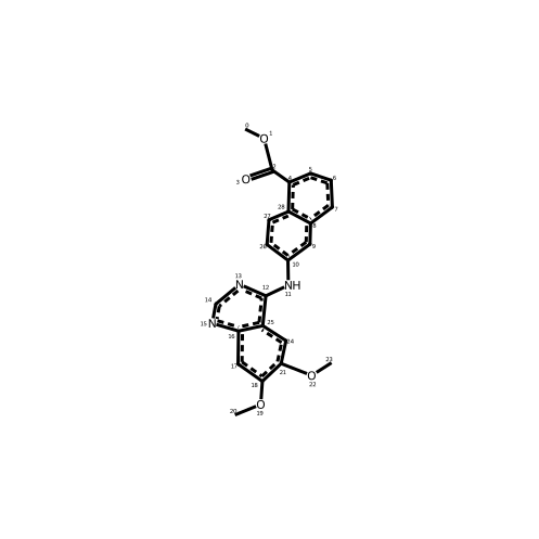 COC(=O)c1cccc2cc(Nc3ncnc4cc(OC)c(OC)cc34)ccc12